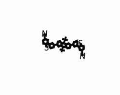 CC(C)(C)c1c2ccc(-c3ccc4sc5ccc(C#N)cc5c4c3)cc2c(C(C)(C)C)c2ccc(-c3ccc4sc5ccc(C#N)cc5c4c3)cc12